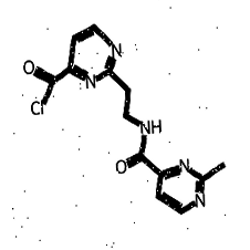 Cc1nccc(C(=O)NCCc2nccc(C(=O)Cl)n2)n1